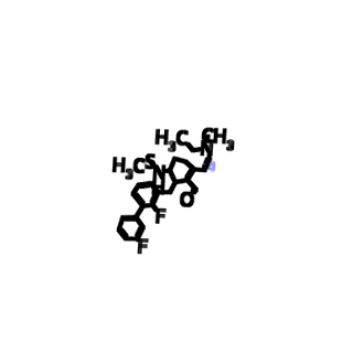 CCN(C)/C=C\C1=C(C=O)C(Cc2cccc(-c3cccc(F)c3)c2F)C(NSC)CC1